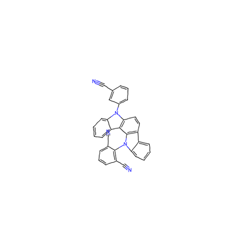 N#Cc1cccc(-n2c3ccccc3c3c2ccc2c4ccccc4n(-c4c(C#N)cccc4C#N)c23)c1